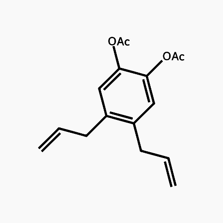 C=CCc1cc(OC(C)=O)c(OC(C)=O)cc1CC=C